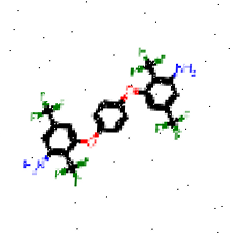 Nc1cc(C(F)(F)F)cc(Oc2ccc(Oc3cc(C(F)(F)F)cc(N)c3C(F)(F)F)cc2)c1C(F)(F)F